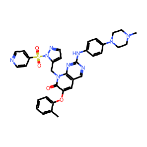 Cc1ccccc1Oc1cc2cnc(Nc3ccc(N4CCN(C)CC4)cc3)nc2n(Cc2ccnn2S(=O)(=O)c2ccncc2)c1=O